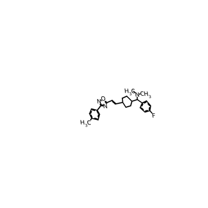 Cc1ccc(-c2noc(C=CC3CCC(C(c4ccc(F)cc4)N(C)C)CC3)n2)cc1